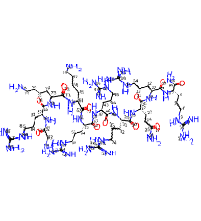 N=C(N)NCCC[C@H](NC(=O)[C@H](CCCNC(=N)N)NC(=O)[C@H](CCC(N)=O)NC(=O)[C@H](CCCNC(=N)N)NC(=O)[C@H](CCCNC(=N)N)NC(=O)[C@H](CCCNC(=N)N)NC(=O)[C@H](CCCCN)NC(=O)[C@H](CCCCN)NC(=O)[C@H](CCCNC(=N)N)NC(=O)CN)C(N)=O